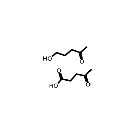 CC(=O)CCC(=O)O.CC(=O)CCCO